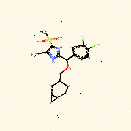 Cc1[nH]c(C(OCC2CCC3CC3C2)c2ccc(F)c(Cl)c2)nc1S(C)(=O)=O